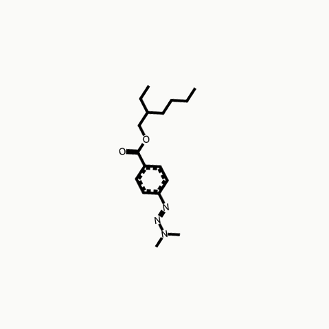 CCCCC(CC)COC(=O)c1ccc(N=NN(C)C)cc1